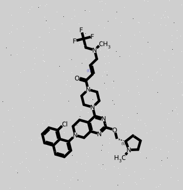 CN(C/C=C/C(=O)N1CCN(c2nc(OC[C@@H]3CCCN3C)nc3c2CCN(c2cccc4cccc(Cl)c24)C3)CC1)CC(F)(F)F